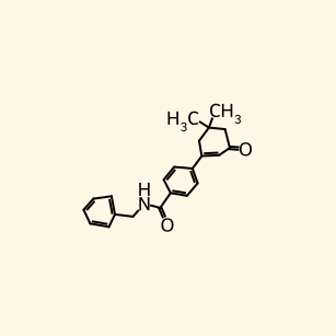 CC1(C)CC(=O)C=C(c2ccc(C(=O)NCc3ccccc3)cc2)C1